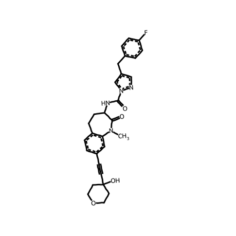 CN1C(=O)C(NC(=O)n2cc(Cc3ccc(F)cc3)cn2)CCc2ccc(C#CC3(O)CCOCC3)cc21